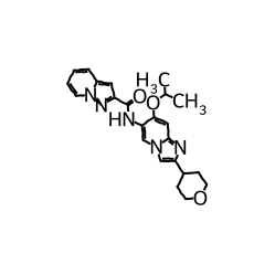 CC(C)Oc1cc2nc(C3CCOCC3)cn2cc1NC(=O)c1cc2ccccn2n1